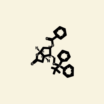 CC(C)(C)[Si](OC[C@@H]1[C@H]2CC(=O)O[C@H]2C[C@H]1OC(=O)c1ccccc1)(c1ccccc1)c1ccccc1